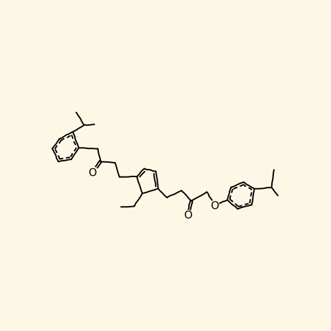 CCC1C(CCC(=O)COc2ccc(C(C)C)cc2)=CC=C1CCC(=O)Cc1ccccc1C(C)C